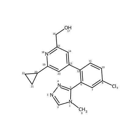 Cn1cnnc1-c1cc(Cl)ccc1-c1cc(CO)nc(C2CC2)c1